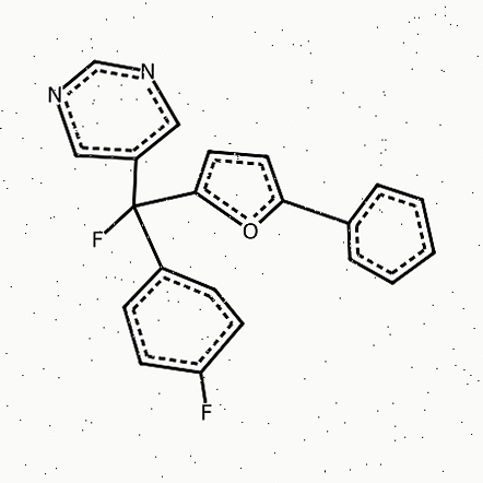 Fc1ccc(C(F)(c2cncnc2)c2ccc(-c3ccccc3)o2)cc1